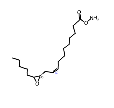 CCCCCC1O[C@@H]1C/C=C\CCCCCCCC(=O)ON